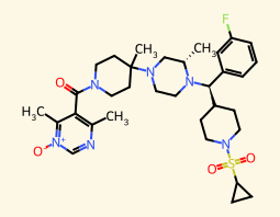 Cc1nc[n+]([O-])c(C)c1C(=O)N1CCC(C)(N2CCN([C@@H](c3cccc(F)c3)C3CCN(S(=O)(=O)C4CC4)CC3)[C@@H](C)C2)CC1